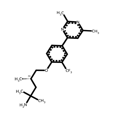 Cc1cc(-c2ccc(OC[C@@H](C)CC(C)(C)N)c(C(F)(F)F)c2)nc(C)n1